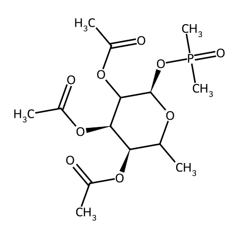 CC(=O)OC1[C@@H](OP(C)(C)=O)OC(C)[C@@H](OC(C)=O)[C@H]1OC(C)=O